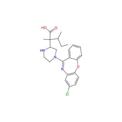 CCC(C)C(C)(C(=O)O)C1CN(C2=Nc3cc(Cl)ccc3Oc3ccccc32)CCN1